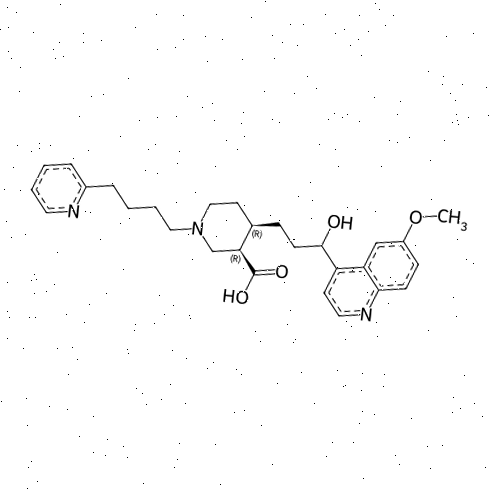 COc1ccc2nccc(C(O)CC[C@@H]3CCN(CCCCc4ccccn4)C[C@@H]3C(=O)O)c2c1